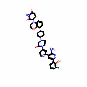 Nc1nnc(-c2cccc(F)c2O)cc1-c1cc(N2CCN([C@H]3CC[C@H](c4cccc5c4OCCN5[C@@H]4CCC(=O)NC4=O)CC3)CC2=O)ccn1